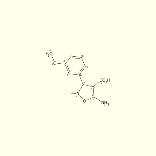 CN1OC(N)=C(C(=O)O)C1c1cccc(OC(F)(F)F)c1